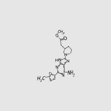 COC(=O)CC1CCCN(c2nc3c(N)nc(-c4ccc(C)o4)nc3[nH]2)C1